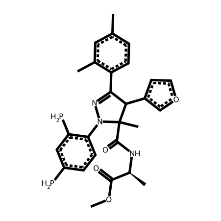 COC(=O)[C@H](C)NC(=O)C1(C)C(c2ccoc2)C(c2ccc(C)cc2C)=NN1c1ccc(P)cc1P